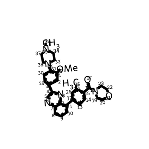 COc1cc(-c2cnc3cccc(-c4ccc(C(=O)N5CCOCC5)c(C)c4)c3n2)ccc1N1CCN(C)CC1